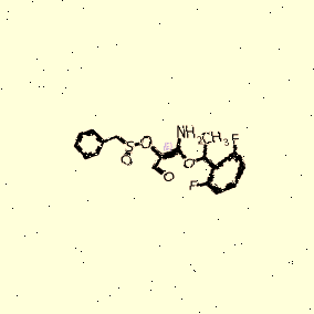 CC(O/C(N)=C(\C=O)OS(=O)Cc1ccccc1)c1c(F)cccc1F